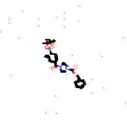 C=C/C=C(\C=C/CB1OC(C)(C)C(C)(C)O1)C(=O)N1CCN(C(=O)OCc2ccccc2)CC1